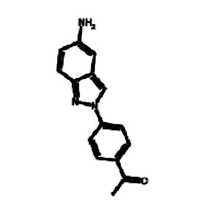 CC(=O)c1ccc(-n2cc3cc(N)ccc3n2)cc1